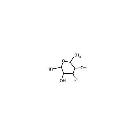 CC(C)C1OC(C)C(O)C(O)C1O